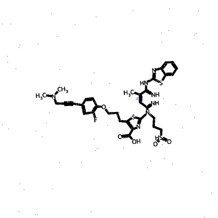 C/C(=C/C(=N)N(CCC[SH](=O)=O)c1nc(C(=O)O)c(CCCOc2ccc(C#CCN(C)C)cc2F)s1)C(=N)Nc1nc2ccccc2s1